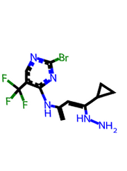 C=C(/C=C(\NN)C1CC1)Nc1nc(Br)ncc1C(F)(F)F